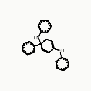 C1=CC(Nc2ccccc2)(c2ccccc2)CC=C1Nc1ccccc1